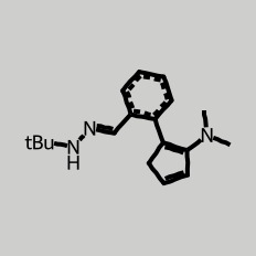 CN(C)C1=C(c2ccccc2/C=N/NC(C)(C)C)CC=C1